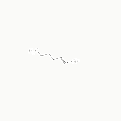 CCCC/C=[CH]/[Sb]